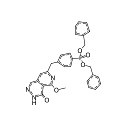 COc1nc(Cc2ccc(P(=O)(OCc3ccccc3)OCc3ccccc3)cc2)cc2cn[nH]c(=O)c12